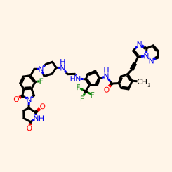 Cc1ccc(C(=O)Nc2ccc(NCCNC3CCN(Cc4ccc5c(c4F)CN(C4CCC(=O)NC4=O)C5=O)CC3)c(C(F)(F)F)c2)cc1C#Cc1cnc2cccnn12